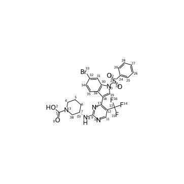 O=C(O)N1CCC[C@H](Nc2ncc(C(F)(F)F)c(-c3cn(S(=O)(=O)c4ccccc4)c4cc(Br)ccc34)n2)C1